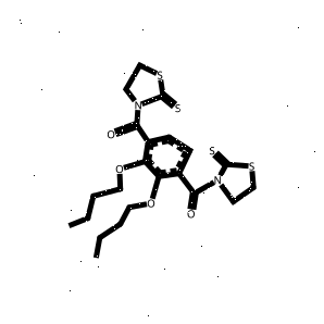 CCCCOc1c(C(=O)N2CCSC2=S)ccc(C(=O)N2CCSC2=S)c1OCCCC